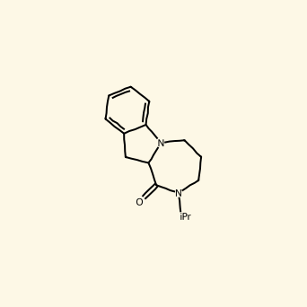 CC(C)N1CCCN2c3ccccc3CC2C1=O